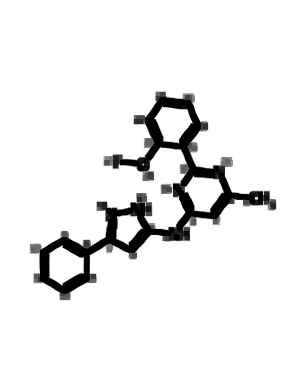 Cc1cc(Nc2cc(-c3ccccc3)n[nH]2)nc(-c2ccccc2OF)n1